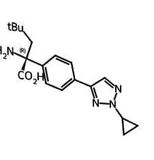 CC(C)(C)C[C@](N)(C(=O)O)c1ccc(-c2cnn(C3CC3)n2)cc1